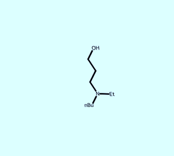 CCCCN(CC)CCCO